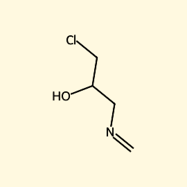 C=NCC(O)CCl